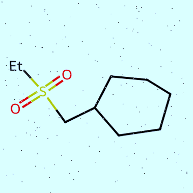 CCS(=O)(=O)CC1CCCCC1